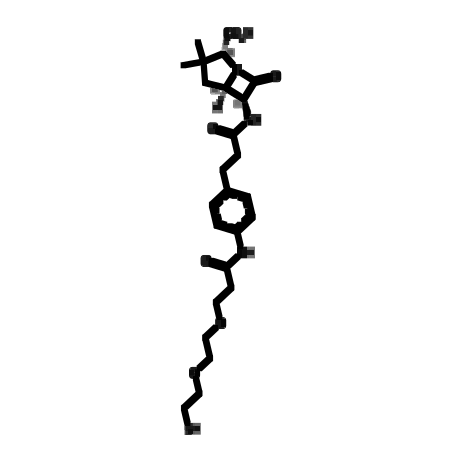 CC1(C)C[C@@H]2[C@H](NC(=O)CCc3ccc(NC(=O)CCOCCOCCS)cc3)C(=O)N2[C@H]1C(=O)O